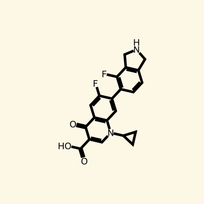 O=C(O)c1cn(C2CC2)c2cc(-c3ccc4c(c3F)CNC4)c(F)cc2c1=O